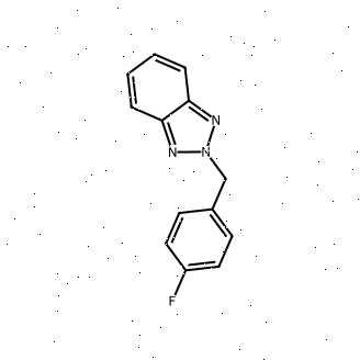 Fc1ccc(Cn2nc3ccccc3n2)cc1